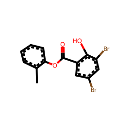 Cc1ccccc1OC(=O)c1cc(Br)cc(Br)c1O